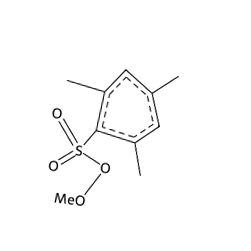 COOS(=O)(=O)c1c(C)cc(C)cc1C